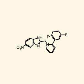 O=[N+]([O-])c1ccc2[nH]c(CN3C=CC=C=C3c3cc(F)ccc3F)nc2c1